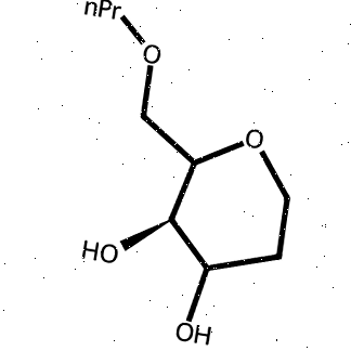 CCCOCC1OCCC(O)[C@H]1O